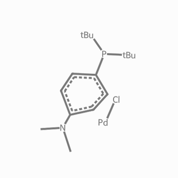 CN(C)c1ccc(P(C(C)(C)C)C(C)(C)C)cc1.[Cl][Pd]